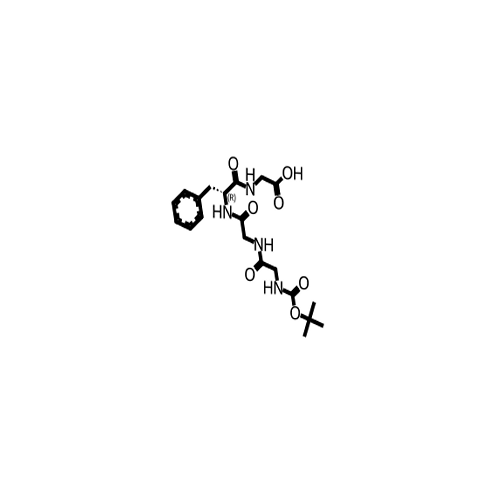 CC(C)(C)OC(=O)NCC(=O)NCC(=O)N[C@H](Cc1ccccc1)C(=O)NCC(=O)O